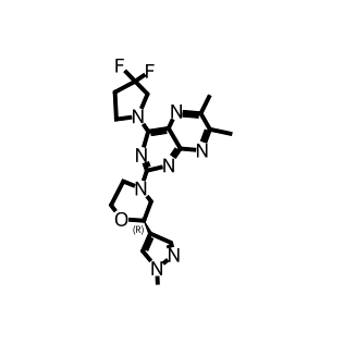 Cc1nc2nc(N3CCO[C@H](c4cnn(C)c4)C3)nc(N3CCC(F)(F)C3)c2nc1C